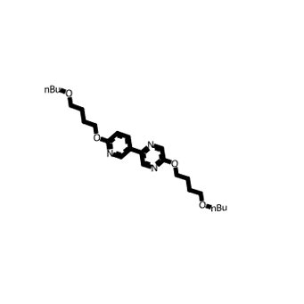 CCCCOCCCCOc1ccc(-c2cnc(OCCCCOCCCC)cn2)cn1